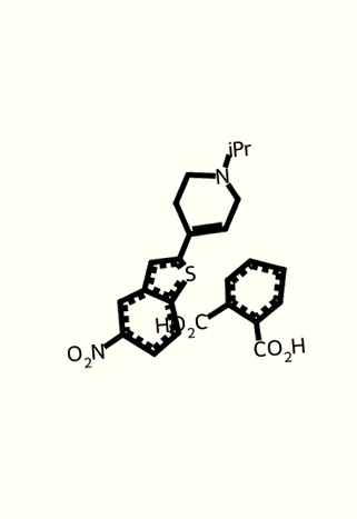 CC(C)N1CC=C(c2cc3cc([N+](=O)[O-])ccc3s2)CC1.O=C(O)c1ccccc1C(=O)O